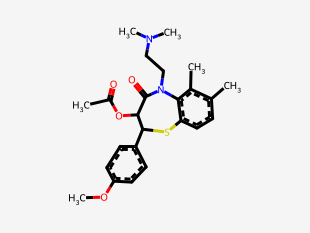 COc1ccc(C2Sc3ccc(C)c(C)c3N(CCN(C)C)C(=O)C2OC(C)=O)cc1